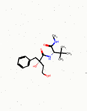 CNC(=O)[C@@H](NC(=O)[C@@](O)(CCO)Cc1ccccc1)C(C)(C)C